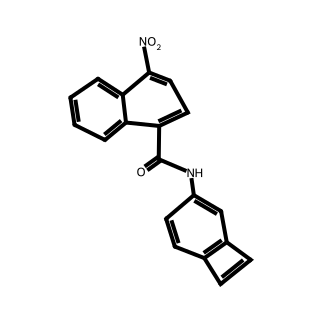 O=C(Nc1ccc2c(c1)C=C2)c1ccc([N+](=O)[O-])c2ccccc12